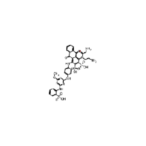 COc1nc(Nc2ccc(Nc3c4c(c(N(CCN)C(=O)CN)c(S(=O)(=O)O)c3S(=O)(=O)O)C(=O)c3ccccc3C4=O)cc2)nc(Nc2ccccc2S(=O)(=O)O)n1